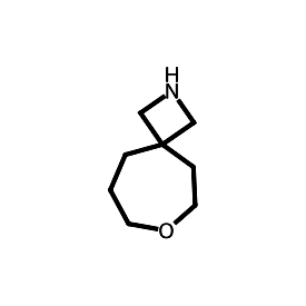 C1COCCC2(C1)CNC2